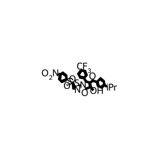 CC(C)c1ccc(C(=O)C2=C(O)C(=O)N(c3ncc(S(=O)(=O)c4ccc([N+](=O)[O-])cc4)s3)C2c2ccc(C(F)(F)F)cc2)cc1